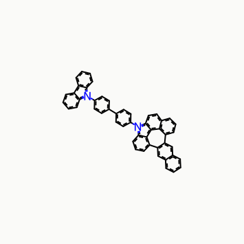 c1ccc2cc3c(cc2c1)-c1cccc2ccc4c(c12)c1c-3cccc1n4-c1ccc(-c2ccc(-n3c4ccccc4c4ccccc43)cc2)cc1